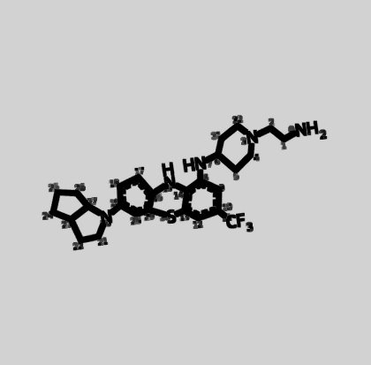 NCCN1CCC(Nc2cc(C(F)(F)F)cc3c2Nc2ccc(N4CCC5CCCC54)cc2S3)CC1